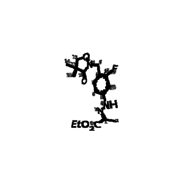 CCOC(=O)C(C)=NNc1ccc(CN2OCC(C)(C)C2=O)c(F)c1